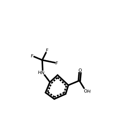 O=C(O)c1cccc(NC(F)(F)F)c1